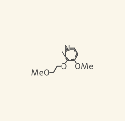 COCCOc1nnccc1OC